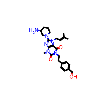 CC(C)=CCn1c(N2CCCC(N)C2)nc2c1c(=O)n(CCc1ccc(CO)cc1)c(=O)n2C